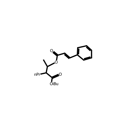 CCCC(C(=O)OCC(C)C)C(C)OC(=O)C=Cc1ccccc1